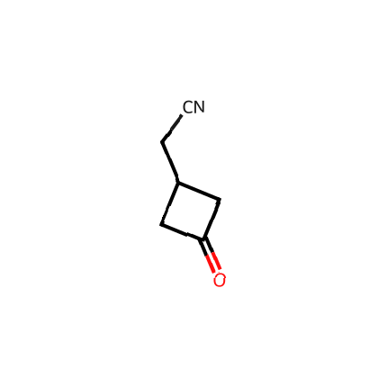 N#CCC1CC(=O)C1